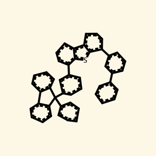 c1ccc(-c2cccc(-c3cccc4c3sc3c(-c5cccc(C6(c7ccccc7)c7ccccc7-c7ccccc76)c5)cccc34)c2)cc1